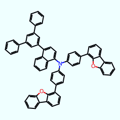 c1ccc(-c2cc(-c3ccccc3)cc(-c3ccc(N(c4ccc(-c5cccc6c5oc5ccccc56)cc4)c4ccc(-c5cccc6c5oc5ccccc56)cc4)c4ccccc34)c2)cc1